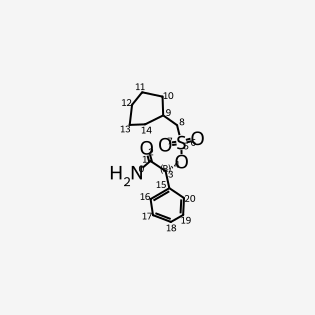 NC(=O)[C@H](OS(=O)(=O)CC1CCCCC1)c1ccccc1